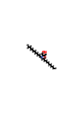 CCCCCCCCCCCCN(CCCCCCCCCCCC)C(CO)C(C)=O